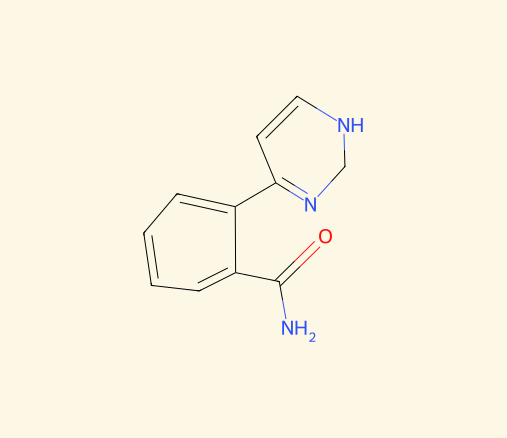 NC(=O)c1ccccc1C1=NCNC=C1